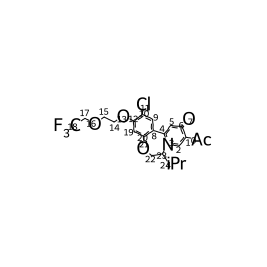 CC(=O)c1cn2c(cc1=O)-c1cc(Cl)c(OCCOCC(F)(F)F)cc1OCC2C(C)C